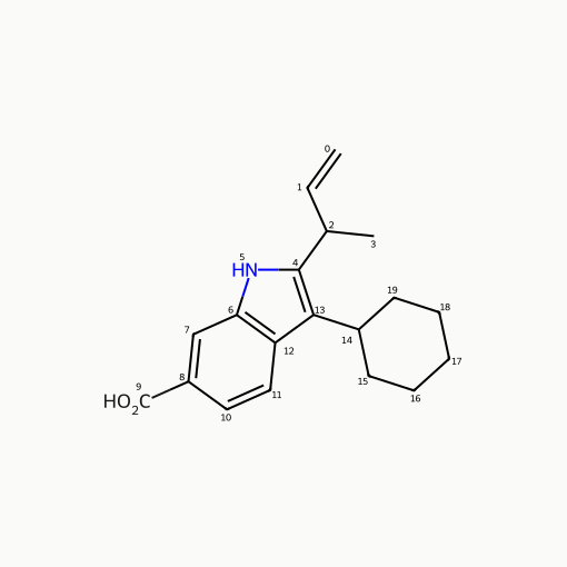 C=CC(C)c1[nH]c2cc(C(=O)O)ccc2c1C1CCCCC1